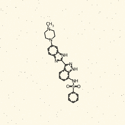 CN1CCN(c2ccc3nc(-c4n[nH]c5c(NS(=O)(=O)c6ccccc6)cccc45)[nH]c3c2)CC1